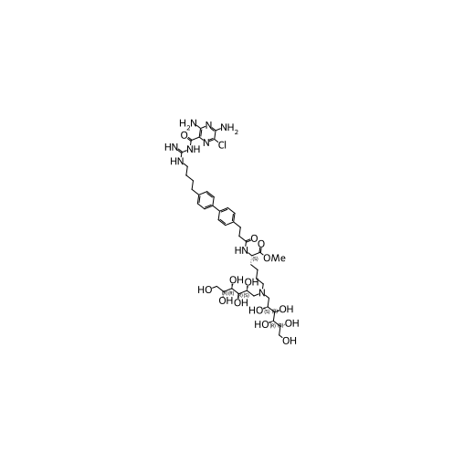 COC(=O)[C@H](CCCCN(C[C@H](O)[C@@H](O)[C@H](O)[C@H](O)CO)C[C@H](O)[C@@H](O)[C@H](O)[C@H](O)CO)NC(=O)CCc1ccc(-c2ccc(CCCCNC(=N)NC(=O)c3nc(Cl)c(N)nc3N)cc2)cc1